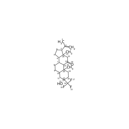 C=C(C)C1CCC2C3CCC4C[C@](O)(C(F)(F)F)CCC4(C)C3C(=O)CC12C